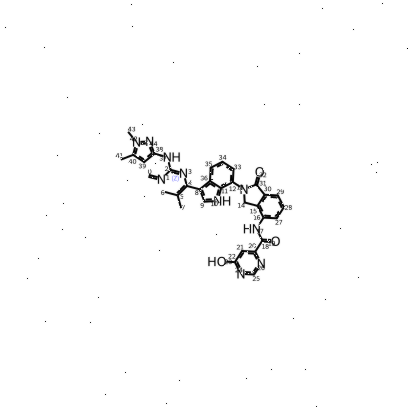 C=N/C(=N\C(=C(C)C)c1c[nH]c2c(N3Cc4c(NC(=O)c5cc(O)ncn5)cccc4C3=O)cccc12)Nc1cc(C)n(C)n1